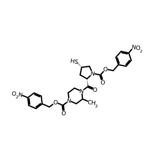 CC1CN(C(=O)OCc2ccc([N+](=O)[O-])cc2)CCN1C(=O)[C@@H]1C[C@H](S)CN1C(=O)OCc1ccc([N+](=O)[O-])cc1